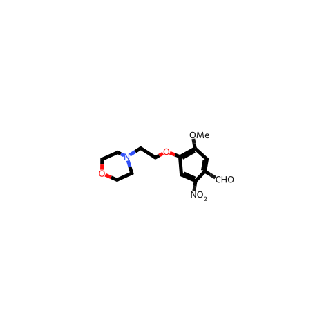 COc1cc(C=O)c([N+](=O)[O-])cc1OCCN1CCOCC1